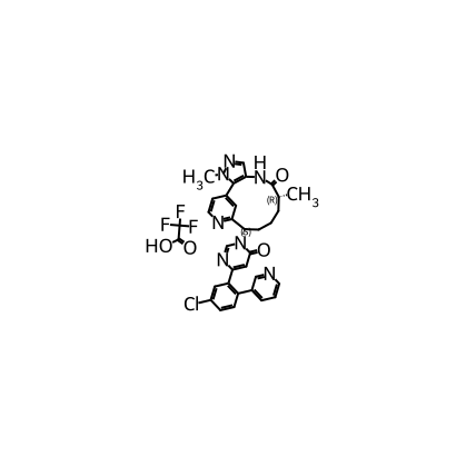 C[C@@H]1CCC[C@H](n2cnc(-c3cc(Cl)ccc3-c3cccnc3)cc2=O)c2cc(ccn2)-c2c(cnn2C)NC1=O.O=C(O)C(F)(F)F